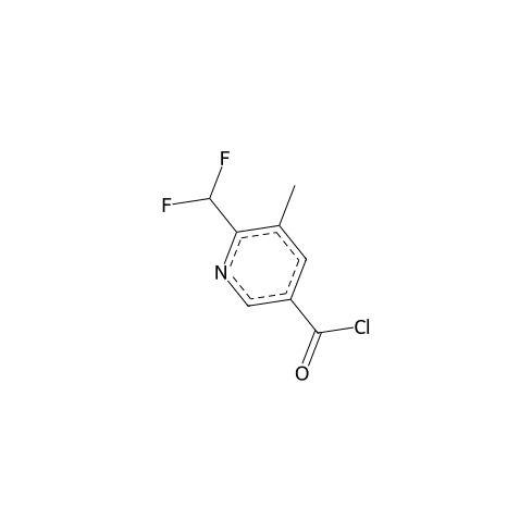 Cc1cc(C(=O)Cl)cnc1C(F)F